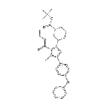 CCOC(=O)c1c(I)c(-c2ccc(Oc3ccccc3)cc2)nn1C1CCCN(C(=O)OC(C)(C)C)C1